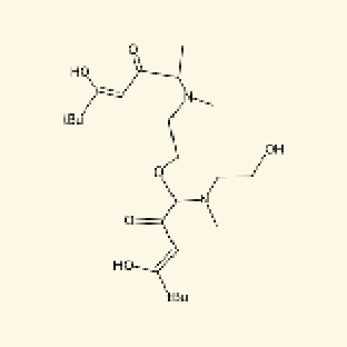 CC(C(=O)/C=C(\O)C(C)(C)C)N(C)CCOC(C(=O)/C=C(\O)C(C)(C)C)N(C)CCO